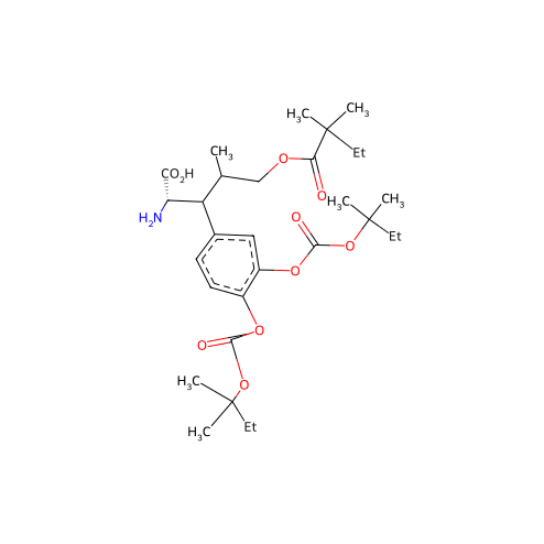 CCC(C)(C)OC(=O)Oc1ccc(C(C(C)COC(=O)C(C)(C)CC)[C@H](N)C(=O)O)cc1OC(=O)OC(C)(C)CC